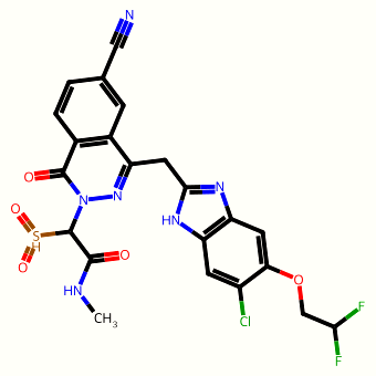 CNC(=O)C(n1nc(Cc2nc3cc(OCC(F)F)c(Cl)cc3[nH]2)c2cc(C#N)ccc2c1=O)[SH](=O)=O